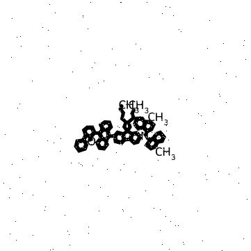 CCCCCCC1(CCCCCC)c2cc(-c3c4ccccc4c(-c4cccc5c4oc4ccccc45)c4ccccc34)ccc2-c2ccc(N(c3ccc(C)c4ccccc34)c3ccc(C)c4ccccc34)cc21